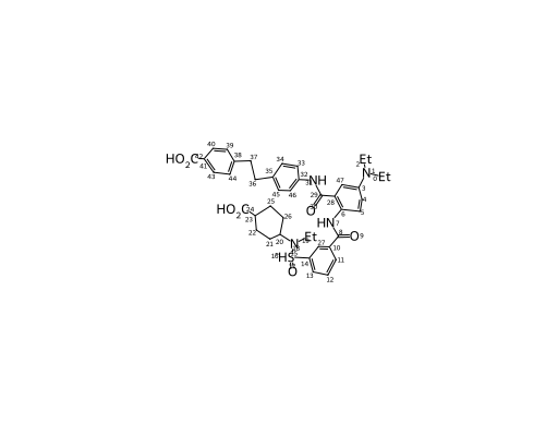 CCN(CC)c1ccc(NC(=O)c2cccc([SH](C)(=O)N(CC)C3CCC(C(=O)O)CC3)c2)c(C(=O)Nc2ccc(CCc3ccc(C(=O)O)cc3)cc2)c1